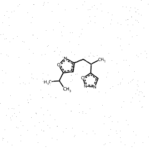 CC(C)c1cc(CC(C)c2cnno2)no1